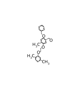 Cc1ccc(C)c(OCCOc2cc(C=O)c(OCc3ccccc3)cc2C)c1